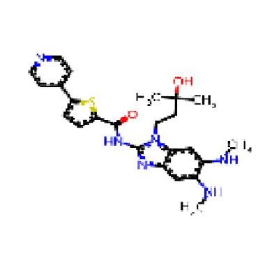 CNc1cc2nc(NC(=O)c3ccc(-c4ccncc4)s3)n(CCC(C)(C)O)c2cc1NC